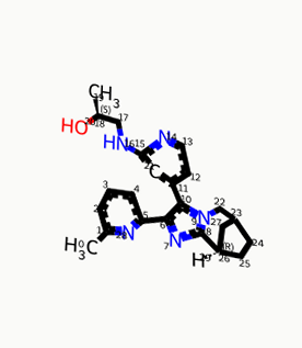 Cc1cccc(-c2nc3n(c2-c2ccnc(NC[C@H](C)O)c2)CC2CC[C@@H]3C2)n1